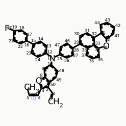 C=Cc1c(/C=C\C)oc2cc(N(c3ccc(-c4ccc(F)cc4)cc3)c3ccc(-c4ccc5c6c(cccc46)Oc4ccccc4-5)cc3)ccc12